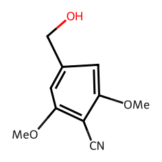 COc1cc(CO)cc(OC)c1C#N